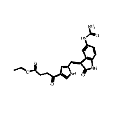 CCOC(=O)CCC(=O)c1c[nH]c(C=C2C(=O)Nc3ccc(NC(N)=O)cc32)c1